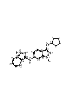 Cn1nc(OC2CCCC2)c2ccc(Nc3n[nH]c4cccnc34)cc21